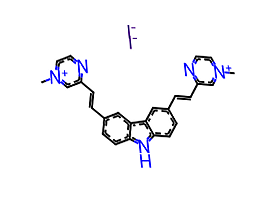 C[n+]1ccnc(C=Cc2ccc3[nH]c4ccc(C=Cc5c[n+](C)ccn5)cc4c3c2)c1.[I-].[I-]